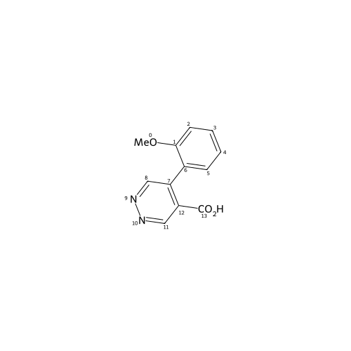 COc1ccccc1-c1cnncc1C(=O)O